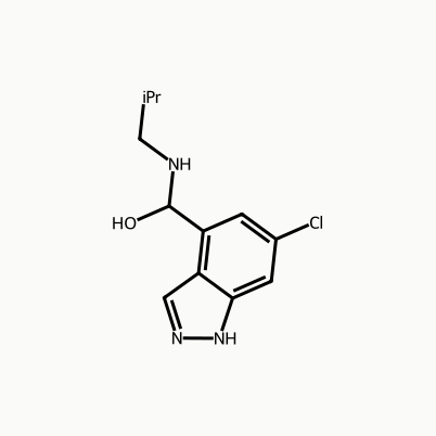 CC(C)CNC(O)c1cc(Cl)cc2[nH]ncc12